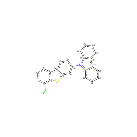 Clc1cccc2c1sc1cc(-n3c4ccccc4c4ccccc43)ccc12